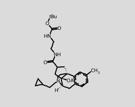 CC(=O)O[C@@]12CC(C(=O)NCCNC(=O)OC(C)(C)C)C[C@@]13CCN(CC1CC1)[C@@H]2Cc1ccc(C)cc13